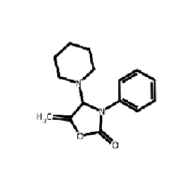 C=C1OC(=O)N(c2ccccc2)C1N1CCCCC1